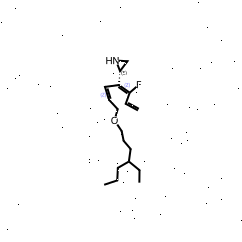 C=C/C(F)=C(\C=C/COCCCC(CC)CCC)[C@H]1CN1